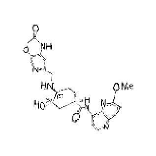 COc1ccc2nccc(NC(=O)[C@H]3CC[C@H](NCc4cc5c(cn4)OCC(=O)N5)[C@@H](O)C3)c2n1